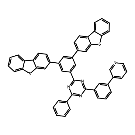 c1ccc(-c2nc(-c3cccc(-c4cccnc4)c3)nc(-c3cc(-c4ccc5c(c4)sc4ccccc45)cc(-c4ccc5c(c4)sc4ccccc45)c3)n2)cc1